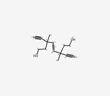 CC(C#N)(CCO)/N=N/C(C)(C#N)CCO